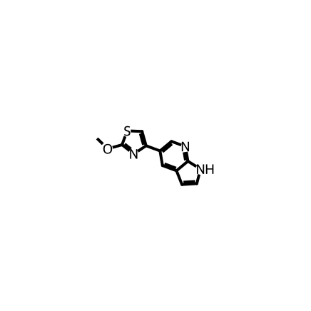 COc1nc(-c2cnc3[nH]ccc3c2)cs1